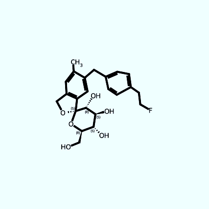 Cc1cc2c(cc1Cc1ccc(CCF)cc1)[C@]1(OC2)O[C@H](CO)[C@@H](O)[C@H](O)[C@H]1O